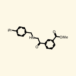 COC(=O)c1cccc(C(=O)CNCc2ccc(C(C)C)cc2)c1